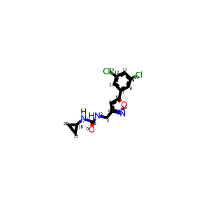 O=C(NCc1cc(-c2cc(Cl)cc(Cl)c2)on1)NC1CC1